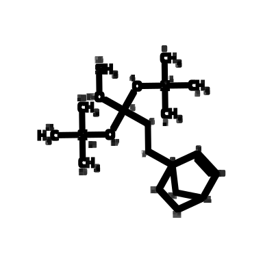 C[Si](C)(C)OC(CCC12C=CC(CC1)C2)(O[SiH3])O[Si](C)(C)C